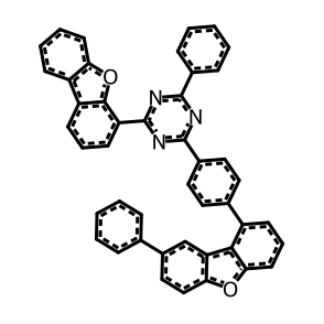 c1ccc(-c2ccc3oc4cccc(-c5ccc(-c6nc(-c7ccccc7)nc(-c7cccc8c7oc7ccccc78)n6)cc5)c4c3c2)cc1